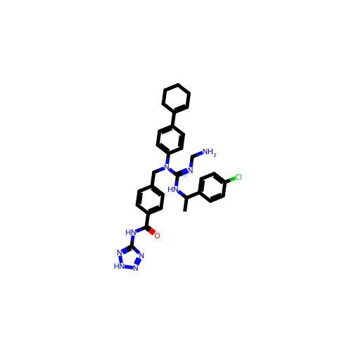 CC(N/C(=N/CN)N(Cc1ccc(C(=O)Nc2nn[nH]n2)cc1)c1ccc(C2=CCCCC2)cc1)c1ccc(Cl)cc1